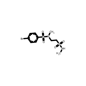 CNS(=O)(=O)CCN(C)S(=O)(=O)c1ccc(Br)cc1